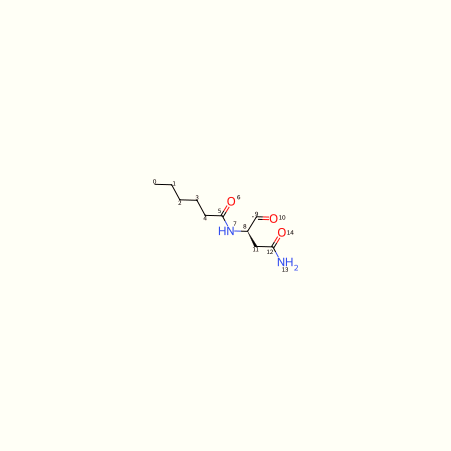 CCCCCC(=O)N[C@@H]([C]=O)CC(N)=O